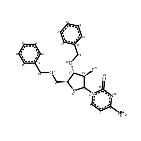 Nc1ccn(C2S[C@@H](COCc3ccccc3)[C@H](OCc3ccccc3)[C@H]2F)c(=O)n1